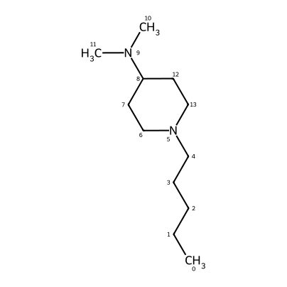 CCCCCN1CCC(N(C)C)CC1